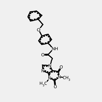 Cn1c(=O)c2c(ncn2CC(=O)Nc2ccc(OCc3ccccc3)cc2)n(C)c1=O